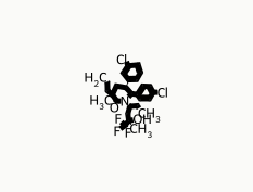 C=CC[C@@]1(C)C[C@H](c2cccc(Cl)c2)C(c2ccc(Cl)cc2)N(C(CC)C[C@@](C)(O)C(F)(F)F)C1=O